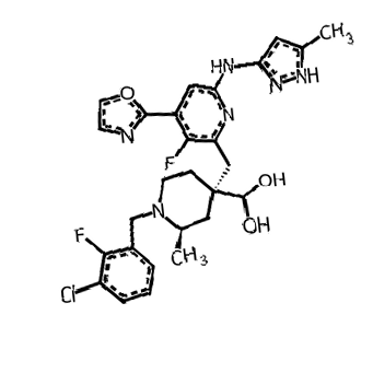 Cc1cc(Nc2cc(-c3ncco3)c(F)c(C[C@@]3(C(O)O)CCN(Cc4cccc(Cl)c4F)[C@H](C)C3)n2)n[nH]1